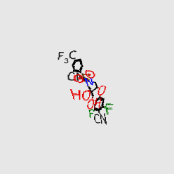 N#Cc1cc(C(F)(F)F)ccc1S(=O)(=O)N1C[C@H](Oc2cc(F)c(C#N)c(F)c2)[C@](O)(CO)C1